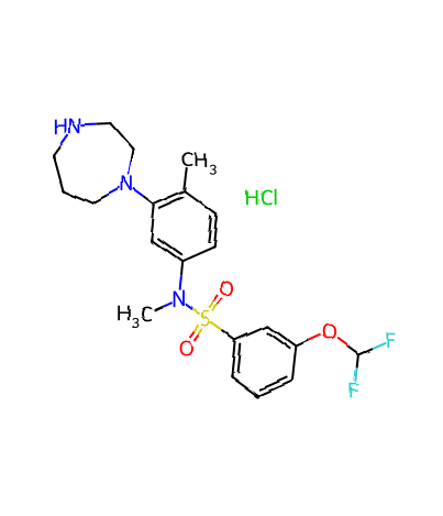 Cc1ccc(N(C)S(=O)(=O)c2cccc(OC(F)F)c2)cc1N1CCCNCC1.Cl